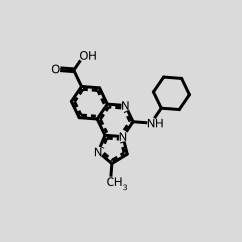 Cc1cn2c(NC3CCCCC3)nc3cc(C(=O)O)ccc3c2n1